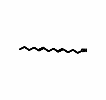 CCCCC=CCCC=CCCCO